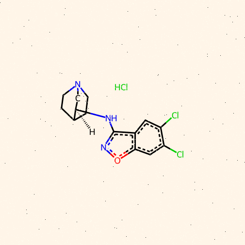 Cl.Clc1cc2onc(N[C@@H]3CN4CCC3CC4)c2cc1Cl